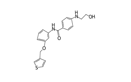 O=C(Nc1cccc(OCc2ccsc2)c1)c1ccc(NCCO)cc1